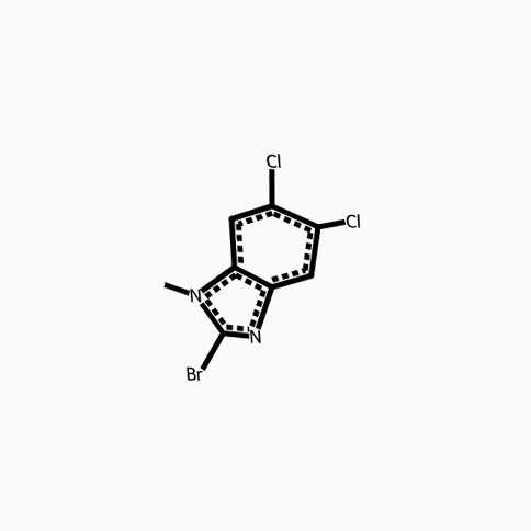 Cn1c(Br)nc2cc(Cl)c(Cl)cc21